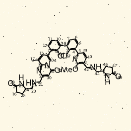 COc1nc(-c2cccc(-c3cccc(-c4cc(C)c5nc(CNC[C@H]6CCC(=O)N6)cc(=O)n5c4)c3Cl)c2Cl)ccc1CNC[C@H]1CCC(=O)N1